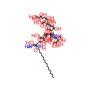 CCCCCCCCCCCCCCCCCC(=O)N[C@@](C)(CO[C@@H]1O[C@@H](CO)[C@@H](O[C@@H]2OC(CO)[C@H](O[C@@H]3OC(CO)[C@H](O)[C@H](O)[C@H]3NC(C)=O)[C@@H]3O[C@]4(C[C@@H](O)[C@H](C)[C@H]([C@@H](O)[C@@](C)(CO)O[C@]5(C(=O)O)C[C@@H](O)[C@@H](C)C([C@H](O)[C@H](O)CO)O5)O4)C(=O)O[C@@H]23)[C@@H](O)C1O)[C@](C)(O)CNCC